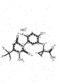 Cl.Cn1c(C(F)(F)F)cc(=O)n(-c2cc(OC3(C(=O)O)CC3)c(Cl)cc2F)c1=O